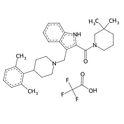 Cc1cccc(C)c1C1CCN(Cc2c(C(=O)N3CCCC(C)(C)C3)[nH]c3ccccc23)CC1.O=C(O)C(F)(F)F